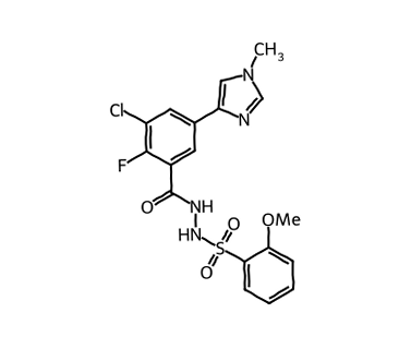 COc1ccccc1S(=O)(=O)NNC(=O)c1cc(-c2cn(C)cn2)cc(Cl)c1F